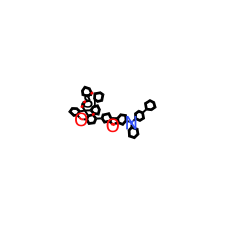 c1ccc(-c2ccc(N(c3ccccc3)c3ccc4c(c3)oc3cc(-c5ccc6c(c5)C5(c7ccccc7O6)c6ccccc6[Si](c6ccccc6)(c6ccccc6)c6ccccc65)ccc34)cc2)cc1